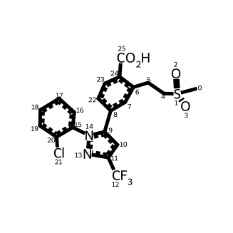 CS(=O)(=O)CCc1cc(-c2cc(C(F)(F)F)nn2-c2ccccc2Cl)ccc1C(=O)O